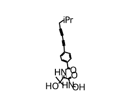 CC(C)CC#CC#Cc1ccc(C(=O)N[C@H](C(=O)NO)C(C)(C)O)cc1